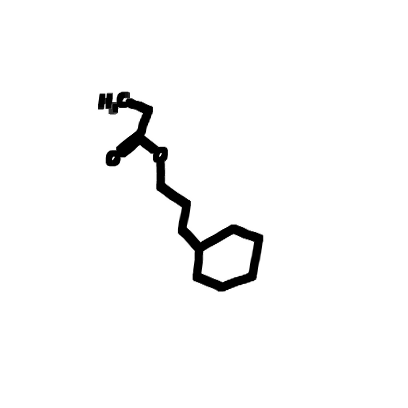 CCC(=O)OCCCC1CCCCC1